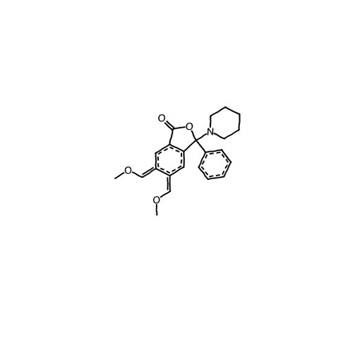 COC=c1cc2c(cc1=COC)C(c1ccccc1)(N1CCCCC1)OC2=O